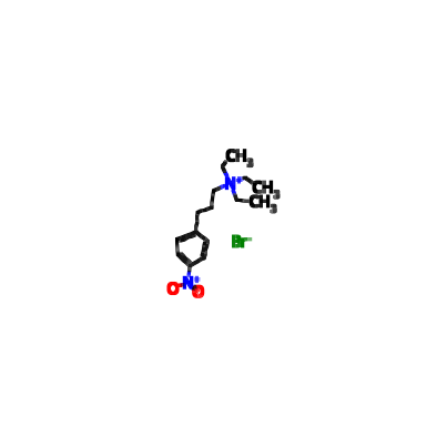 CC[N+](CC)(CC)CCCc1ccc([N+](=O)[O-])cc1.[Br-]